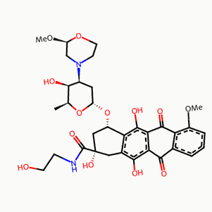 COc1cccc2c1C(=O)c1c(O)c3c(c(O)c1C2=O)C[C@@](O)(C(=O)NCCO)C[C@@H]3O[C@H]1C[C@H](N2CCO[C@H](OC)C2)[C@H](O)[C@H](C)O1